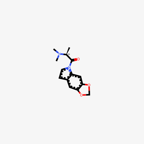 C[C@@H](C(=O)n1ccc2cc3c(cc21)OCO3)N(C)C